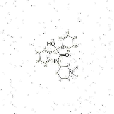 C[N+]1(C)CCCC(NC(=O)C(O)(c2ccccc2)c2ccccc2)C1